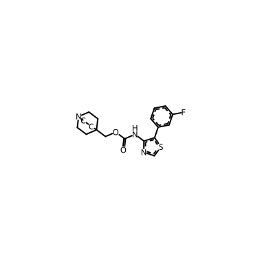 O=C(Nc1ncsc1-c1cccc(F)c1)OCC12CCN(CC1)CC2